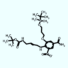 CC(C)(C)OC(=O)NC/C=C/CNc1c(OCCCO[Si](C)(C)C(C)(C)C)cc(C(N)=O)cc1[N+](=O)[O-]